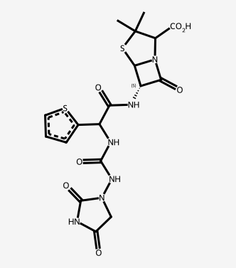 CC1(C)SC2[C@@H](NC(=O)C(NC(=O)NN3CC(=O)NC3=O)c3cccs3)C(=O)N2C1C(=O)O